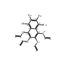 C=CSc1c(SC=C)c(SC=C)c2c(F)c(F)c(F)c(F)c2c1SC=C